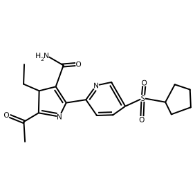 CCC1C(C(C)=O)=NC(c2ccc(S(=O)(=O)C3CCCC3)cn2)=C1C(N)=O